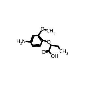 CCC(Oc1ccc(N)cc1OC)C(=O)O